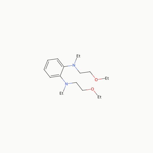 CCOCCN(CC)c1ccccc1N(CC)CCOCC